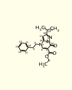 CCOC(=O)c1cn(CCc2ccccc2)c2cc(C(C)C)nn2c1=O